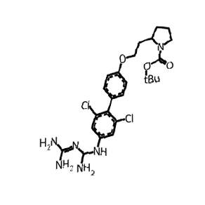 CC(C)(C)OC(=O)N1CCCC1CCOc1ccc(-c2c(Cl)cc(NC(N)N=C(N)N)cc2Cl)cc1